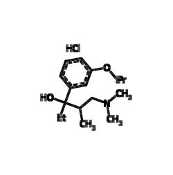 CCC(O)(c1cccc(OC(C)C)c1)C(C)CN(C)C.Cl